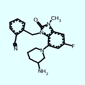 Cn1c(=O)n(Cc2ccccc2C#N)c2c(N3CCCC(N)C3)cc(F)cc21